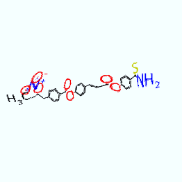 CCC(Cc1ccc(C(=O)Oc2ccc(/C=C/C(=O)Oc3ccc(C(N)=S)cc3)cc2)cc1)O[N+](=O)[O-]